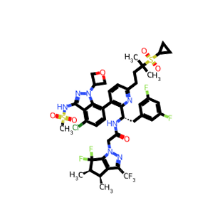 C[C@@H]1c2c(C(F)(F)F)nn(CC(=O)N[C@@H](Cc3cc(F)cc(F)c3)c3nc(CCC(C)(C)S(=O)(=O)C4CC4)ccc3-c3ccc(Cl)c4c(NS(C)(=O)=O)nn(C5COC5)c34)c2C(F)(F)[C@@H]1C